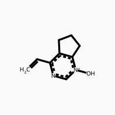 C=Cc1nc[n+](O)c2c1CCC2